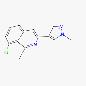 Cc1nc(-c2cnn(C)c2)cc2cccc(Cl)c12